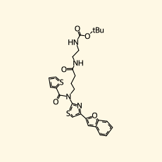 CC(C)(C)OC(=O)NCCNC(=O)CCCN(C(=O)c1cccs1)c1nc(-c2cc3ccccc3o2)cs1